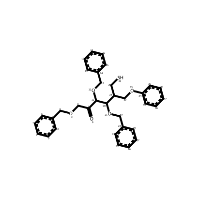 O=C(COCc1ccccc1)C(OCc1ccccc1)C(OCc1ccccc1)C(CS)COc1ccccc1